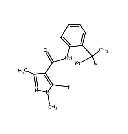 Cc1nn(C)c(F)c1C(=O)Nc1ccccc1C(C)(F)C(C)C